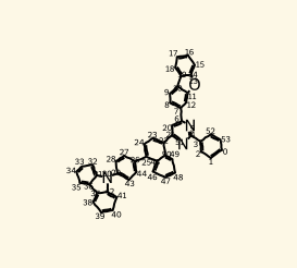 c1ccc(-c2nc(-c3ccc4c(c3)oc3ccccc34)cc(-c3ccc(-c4ccc(-n5c6ccccc6c6ccccc65)cc4)c4ccccc34)n2)cc1